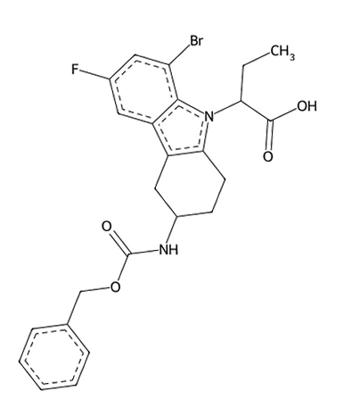 CCC(C(=O)O)n1c2c(c3cc(F)cc(Br)c31)CC(NC(=O)OCc1ccccc1)CC2